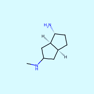 CNC1C[C@@H]2CC[C@@H](N)[C@@H]2C1